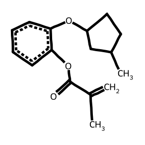 C=C(C)C(=O)Oc1ccccc1OC1CCC(C)C1